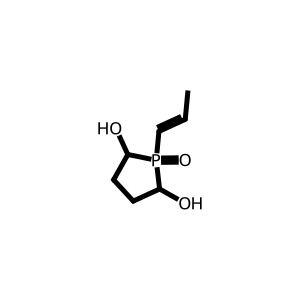 CC=CP1(=O)C(O)CCC1O